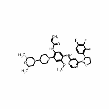 C=CC(=O)Nc1cc(Nc2cc(N3OCC[C@@H]3c3ccc(F)c(F)c3F)ncn2)c(OC)cc1N1CCC(N2C[C@@H](C)O[C@@H](C)C2)CC1